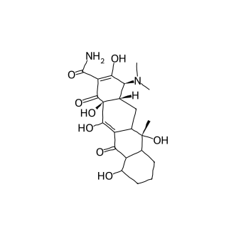 CN(C)[C@@H]1C(O)=C(C(N)=O)C(=O)[C@@]2(O)C(O)=C3C(=O)C4C(O)CCCC4[C@@](C)(O)C3C[C@@H]12